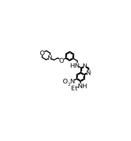 CCNc1cc2ncnc(NCc3cccc(OCCN4CCOCC4)c3)c2cc1[N+](=O)[O-]